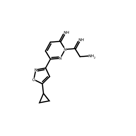 N=C(CN)n1nc(-c2cc(C3CC3)on2)ccc1=N